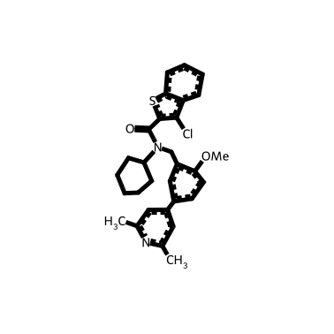 COc1ccc(-c2cc(C)nc(C)c2)cc1CN(C(=O)c1sc2ccccc2c1Cl)C1CCCCC1